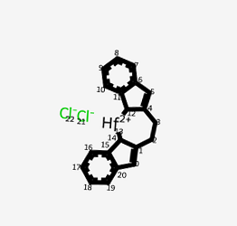 C1=C2CCC3=Cc4ccccc4[CH]3[Hf+2][CH]2c2ccccc21.[Cl-].[Cl-]